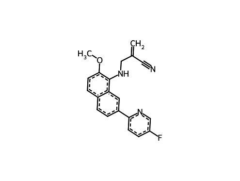 C=C(C#N)CNc1c(OC)ccc2ccc(-c3ccc(F)cn3)cc12